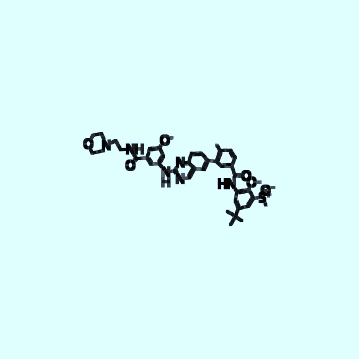 COc1cc(Nc2ncc3cc(-c4cc(C(=O)Nc5cc(C(C)(C)C)cc([S+](C)[O-])c5OC)ccc4C)ccc3n2)cc(C(=O)NCCN2CCOCC2)c1